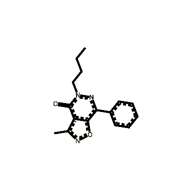 CCCCn1nc(-c2ccccc2)c2onc(C)c2c1=O